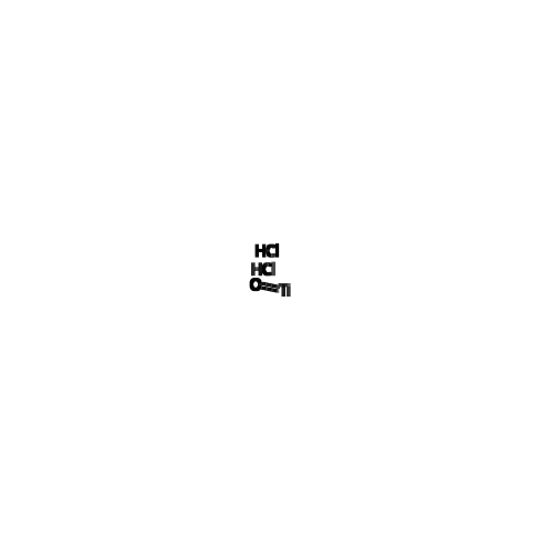 Cl.Cl.[O]=[Ti]